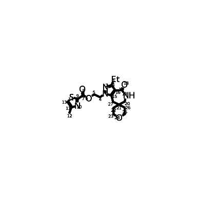 CCc1nn(CCOC(=O)c2nc(C)cs2)c2c1C(=O)NCC1(CCOCC1)C2